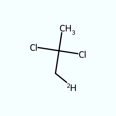 [2H]CC(C)(Cl)Cl